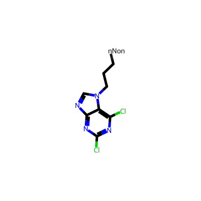 CCCCCCCCCCCCn1cnc2nc(Cl)nc(Cl)c21